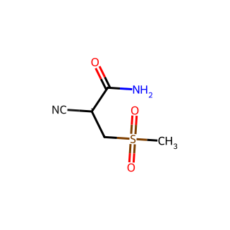 CS(=O)(=O)C[C](C#N)C(N)=O